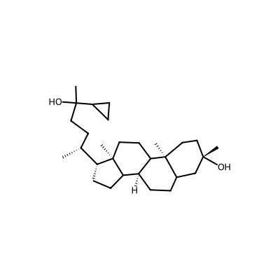 C[C@H](CCC(C)(O)C1CC1)[C@H]1CCC2[C@@H]3CCC4C[C@@](C)(O)CC[C@]4(C)C3CC[C@@]21C